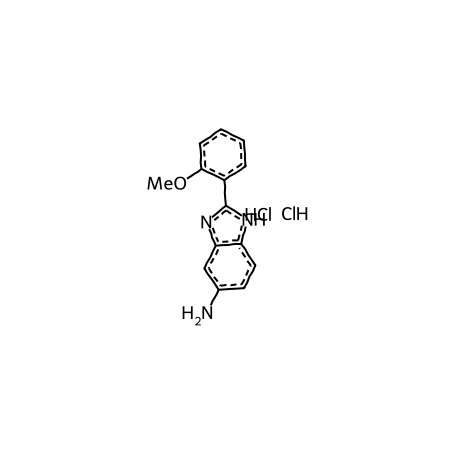 COc1ccccc1-c1nc2cc(N)ccc2[nH]1.Cl.Cl